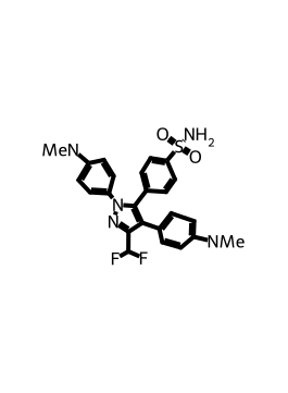 CNc1ccc(-c2c(C(F)F)nn(-c3ccc(NC)cc3)c2-c2ccc(S(N)(=O)=O)cc2)cc1